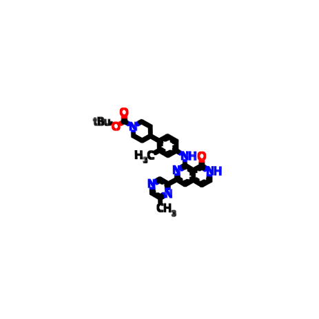 Cc1cncc(-c2cc3cc[nH]c(=O)c3c(Nc3ccc(C4CCN(C(=O)OC(C)(C)C)CC4)c(C)c3)n2)n1